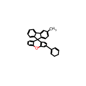 Cc1ccc2c(c1)-c1ccccc1C21c2ccccc2Oc2cc(C3=CCCC=C3)ccc21